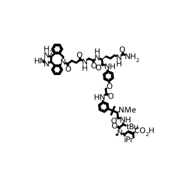 CN[C@H](C(=O)NC(C(=O)N(C)C(/C=C(\C)C(=O)O)C(C)C)C(C)(C)C)C(C)(C)c1cccc(NC(=O)COc2ccc(NC(=O)[C@H](CCCNC(N)=O)NC(=O)CNC(=O)CCC(=O)N3Cc4ccccc4C(N)C(N=N)c4ccccc43)cc2)c1